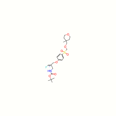 CC1(COCS(=O)(=O)c2ccc(OC/C(=C/F)CNC(=O)OC(C)(C)C)cc2)CCOCC1